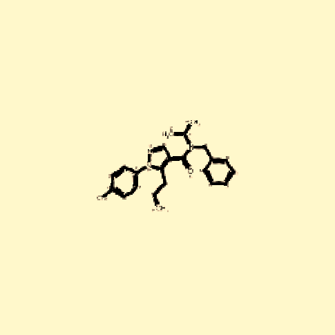 CCCc1c(C(=O)N(Cc2ccccc2)C(C)C)cnn1-c1ccc(Cl)cc1